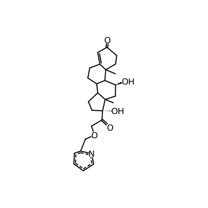 CC12CCC(=O)C=C1CCC1C2[C@@H](O)CC2(C)C1CC[C@]2(O)C(=O)COCc1ccccn1